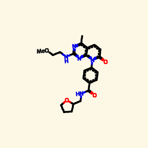 COCCNc1nc(C)c2ccc(=O)n(-c3ccc(C(=O)NCC4CCCO4)cc3)c2n1